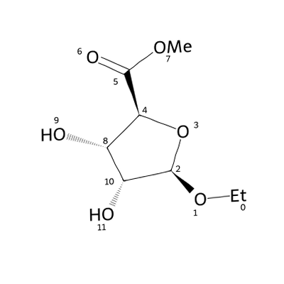 CCO[C@@H]1O[C@H](C(=O)OC)[C@@H](O)[C@H]1O